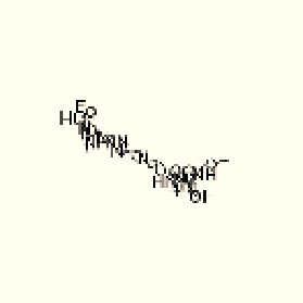 C#Cc1ccc(CNC(=O)[C@@H]2C[C@@H](O)CN2C(=O)[C@@H](NC(=O)[C@H]2CCC3(CC2)C[C@H](N2CCC(c4cnc(N5CCN(c6cc(-c7cccc(F)c7O)nnc6NCC)CC5)nc4)CC2)C3)C(C)(C)C)cc1